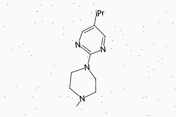 CC(C)c1cnc(N2CCN(C)CC2)nc1